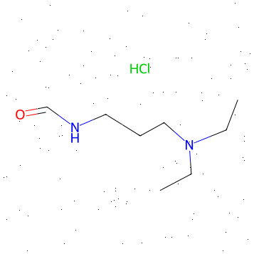 CCN(CC)CCCNC=O.Cl